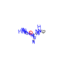 N#CC1CN(Cc2nn(CC(=O)N3CCc4[nH]nnc4C3)cc2-c2cnc(NC3Cc4ccccc4C3)nc2)C1